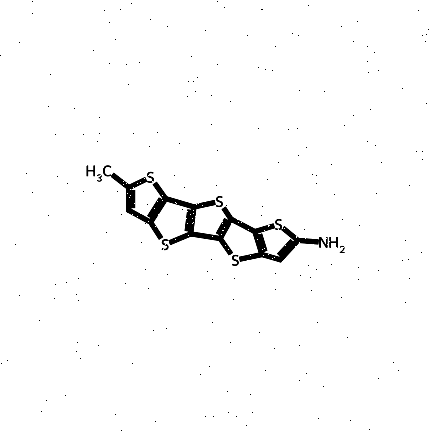 Cc1cc2sc3c(sc4c5sc(N)cc5sc43)c2s1